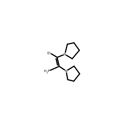 CCC(=C(P)N1CCCC1)N1CCCC1